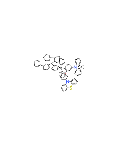 C[Si]1(C)c2ccccc2N(c2ccc([Si](c3ccccc3)(c3ccccc3)c3cccc(C4(c5cccc(-c6ccccc6)c5)c5ccccc5-c5ccccc54)c3)c(-c3cccc(N4c5ccccc5Sc5ccccc54)c3)c2)c2ccccc21